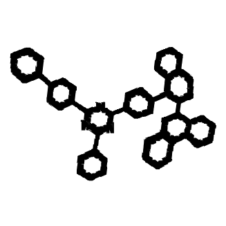 c1ccc(-c2ccc(-c3nc(-c4ccccc4)nc(-c4ccc(-c5c(-c6cc7ccccc7c7ccccc67)ccc6ccccc56)cc4)n3)cc2)cc1